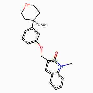 COC1(c2cccc(OCc3cc4ccccc4n(C)c3=O)c2)CCOCC1